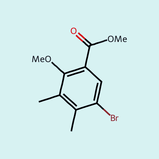 COC(=O)c1cc(Br)c(C)c(C)c1OC